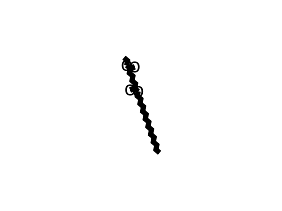 CCCCCCCCCCCCCCCCOC(=O)CCCCC(=O)OCC